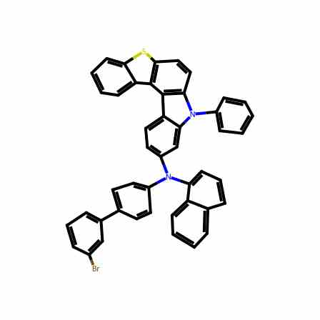 Brc1cccc(-c2ccc(N(c3ccc4c5c6c(ccc5n(-c5ccccc5)c4c3)sc3ccccc36)c3cccc4ccccc34)cc2)c1